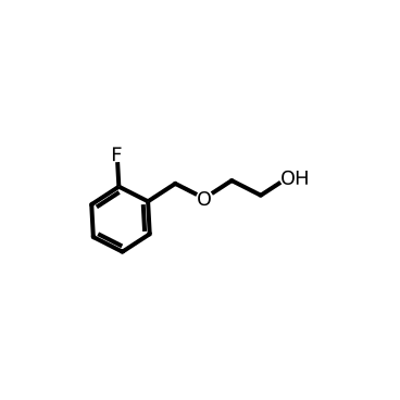 OCCOCc1ccccc1F